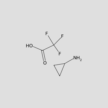 NC1CC1.O=C(O)C(F)(F)F